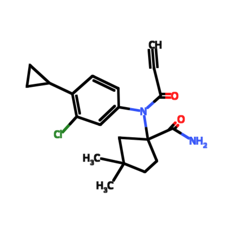 C#CC(=O)N(c1ccc(C2CC2)c(Cl)c1)C1(C(N)=O)CCC(C)(C)C1